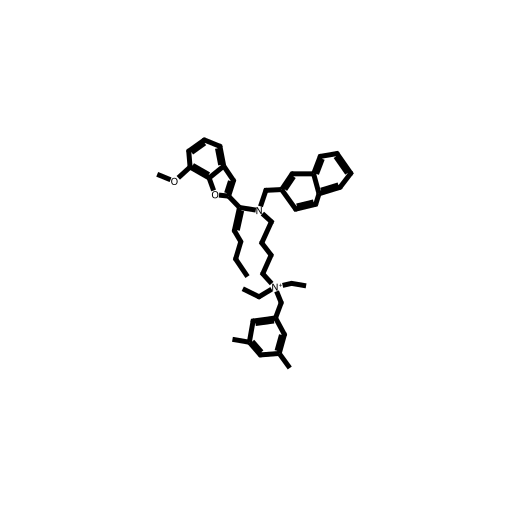 CCC/C=C(/c1cc2cccc(OC)c2o1)N(CCCC[N+](CC)(CC)Cc1cc(C)cc(C)c1)Cc1ccc2ccccc2c1